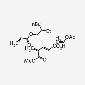 C=C(C=CC(=O)O)C(=O)OC.C=CC(=O)OCC(CC)CCCC.C=COC(C)=O